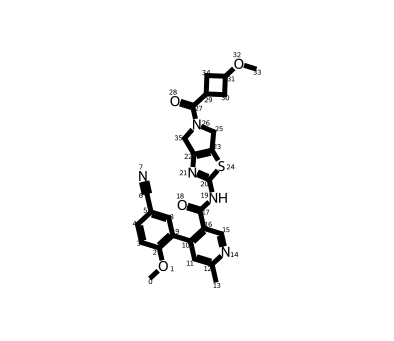 COc1ccc(C#N)cc1-c1cc(C)ncc1C(=O)Nc1nc2c(s1)CN(C(=O)C1CC(OC)C1)C2